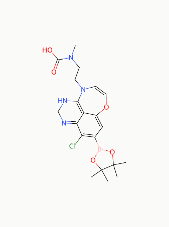 CN(CCN1C=COc2cc(B3OC(C)(C)C(C)(C)O3)c(Cl)c3c2=C1NCN=3)C(=O)O